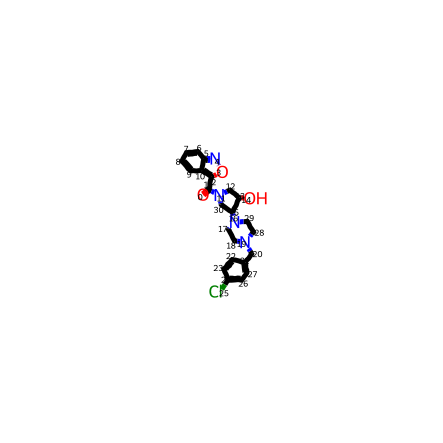 O=C(c1onc2ccccc12)N1CC(O)C(N2CCN(Cc3ccc(Cl)cc3)CC2)C1